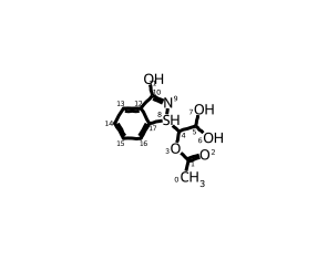 CC(=O)OC(C(O)O)[SH]1N=C(O)c2ccccc21